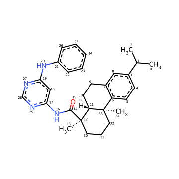 CC(C)c1ccc2c(c1)CC[C@H]1[C@](C)(C(=O)Nc3cc(Nc4ccccc4)ncn3)CCC[C@]21C